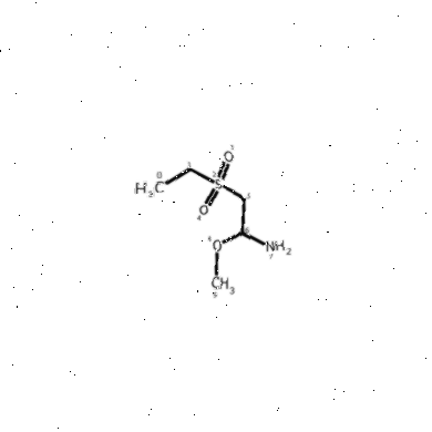 CCS(=O)(=O)CC(N)OC